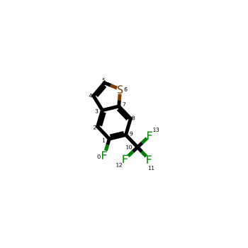 Fc1cc2c[c]sc2cc1C(F)(F)F